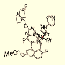 COCOc1cc(-c2nc(N(C)c3cnn(-c4ccncc4)c3)c3cnc(OC[C@@]45CCCN4C[C@H](F)C5)nc3c2F)c2c(C#C[Si](C(C)C)(C(C)C)C(C)C)c(F)ccc2c1